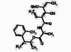 C=N/C(C(=O)N[C@@H](C)C(=O)O[C@@H](C)[C@@H](C)c1ccccc1C)=C(O)\C(=C/C)OC